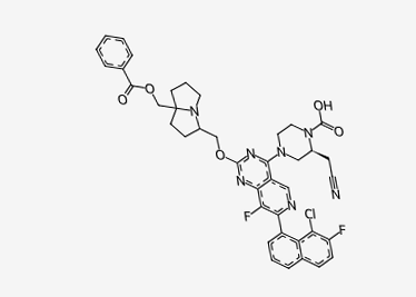 N#CC[C@H]1CN(c2nc(OCC3CCC4(COC(=O)c5ccccc5)CCCN34)nc3c(F)c(-c4cccc5ccc(F)c(Cl)c45)ncc23)CCN1C(=O)O